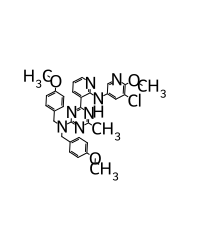 COc1ccc(CN(Cc2ccc(OC)cc2)c2nc(C)nc(-c3cccnc3Nc3cnc(OC)c(Cl)c3)n2)cc1